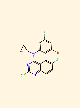 Fc1cc(Br)cc(N(c2nc(Cl)nc3ccc(F)cc23)C2CC2)c1